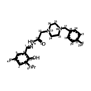 CCCc1cc(F)cc(C=NNC(=O)CN2CCN(Cc3ccc(F)cc3)CC2)c1O